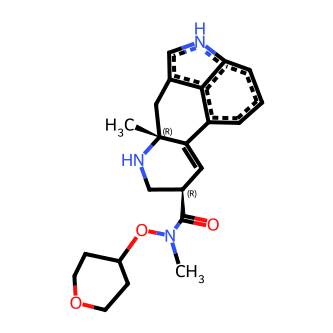 CN(OC1CCOCC1)C(=O)[C@@H]1C=C2c3cccc4[nH]cc(c34)C[C@@]2(C)NC1